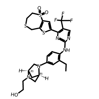 CCc1cc(N2C[C@H]3C[C@@H]2CN3CCO)ccc1Nc1ncc(C(F)(F)F)c(-c2cc3c(s2)CSCCS3(=O)=O)n1